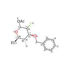 CC[C@H]1OC(OC(C)=O)[C@@H](F)[C@@H](OCc2ccccc2)[C@@H]1C